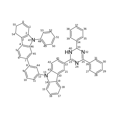 C1=Cc2c(c3ccc(-c4cccc(-n5c6ccccc6c6cc(C7=NC(c8ccccc8)=NC(c8ccccc8)N7)ccc65)c4)cc3n2-c2ccccc2)CC1